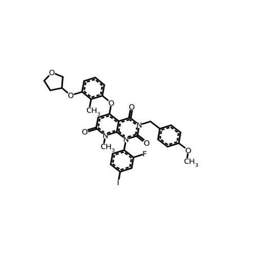 COc1ccc(Cn2c(=O)c3c(Oc4cccc(OC5CCOC5)c4C)cc(=O)n(C)c3n(-c3ccc(I)cc3F)c2=O)cc1